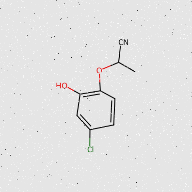 CC(C#N)Oc1ccc(Cl)cc1O